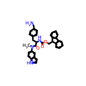 CN(C(=O)C(Cc1ccc(CN)cc1)NC(=O)OCC1c2ccccc2-c2ccccc21)c1ccc2[nH]ccc2c1